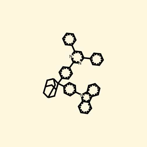 c1ccc(-c2cc(-c3ccccc3)nc(-c3ccc(C4(c5ccc(-n6c7ccccc7c7ccccc76)cc5)C5CC6CC(C5)CC4C6)cc3)n2)cc1